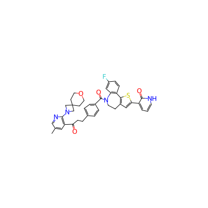 Cc1cnc(N2CC3(CCOCC3)C2)c(C(=O)CCc2ccc(C(=O)N3CCc4cc(-c5ccc[nH]c5=O)sc4-c4ccc(F)cc43)cc2)c1